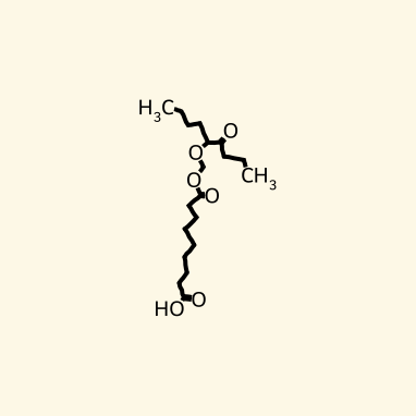 CCCCC(OCOC(=O)CCCCCCCC(=O)O)C(=O)CCC